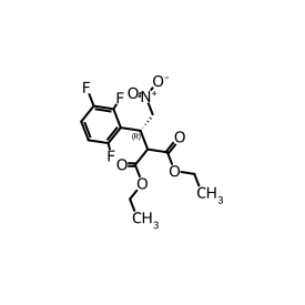 CCOC(=O)C(C(=O)OCC)[C@@H](C[N+](=O)[O-])c1c(F)ccc(F)c1F